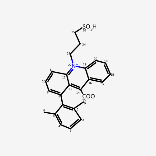 Cc1cccc(C)c1-c1cccc2c1c(C(=O)[O-])c1ccccc1[n+]2CCCS(=O)(=O)O